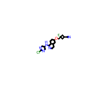 N#CC1CC(F)(COc2ccc3c(Nc4cnc(Cl)nc4)nccc3c2)C1